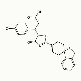 O=C(O)CC(c1ccc(Cl)cc1)C1OC(N2CCC3(CC2)OCc2ccccc23)=NC1=O